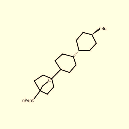 CCCCCC12CCC(C3CCC([C@H]4CC[C@H](CCCC)CC4)CC3)(CC1)CC2